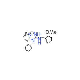 COc1ccccc1CNC(=Nc1ncccc1-c1ccccc1)NOC(C)=O